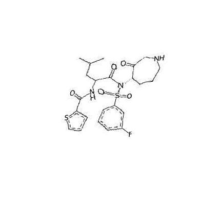 CC(C)CC(NC(=O)c1cccs1)C(=O)N([C@H]1CCCNCC1=O)S(=O)(=O)c1cccc(F)c1